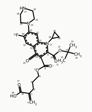 C=C(CCCOC(=O)c1c(C(=O)OC(C)(C)C)n(C2CC2)c2cc(N3CCNCC3)c(F)cc2c1=O)C(=O)O